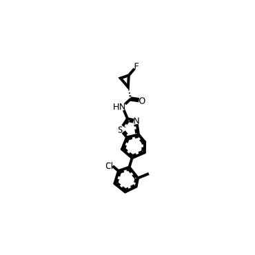 Cc1cccc(Cl)c1-c1ccc2nc(NC(=O)[C@@H]3CC3F)sc2c1